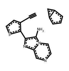 C#Cc1ccsc1-c1nc2cnccn2c1N.c1cc2cc-2c1